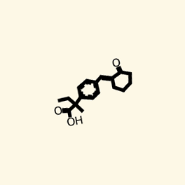 CCC(C)(C(=O)O)c1ccc(C=C2CCCCC2=O)cc1